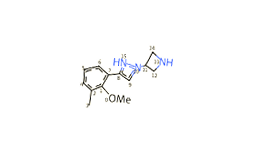 COc1c(C)cccc1-c1cn(C2CNC2)[nH]1